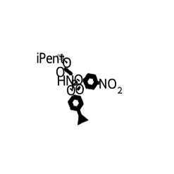 CCC[C@H](C)OC(=O)CNP(=O)(Oc1ccc(C2CC2)cc1)Oc1ccc([N+](=O)[O-])cc1